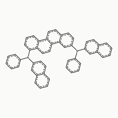 c1ccc(N(c2ccc3ccccc3c2)c2ccc3ccc4c5cccc(N(c6ccccc6)c6ccc7ccccc7c6)c5ccc4c3c2)cc1